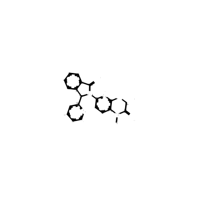 C[C@H]1Oc2nc(N3C(=O)c4ccccc4C3c3ccccn3)ccc2N(C)C1=O